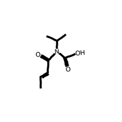 CC=CC(=O)N(C(=O)O)C(C)C